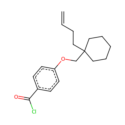 C=CCCC1(COc2ccc(C(=O)Cl)cc2)CCCCC1